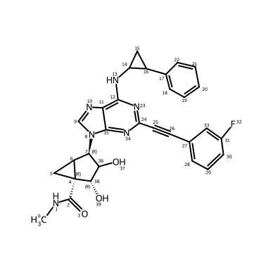 CNC(=O)[C@]12CC1[C@@H](n1cnc3c(NC4CC4c4ccccc4)nc(C#Cc4cccc(F)c4)nc31)C(O)[C@@H]2O